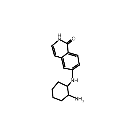 NC1CCCCC1Nc1ccc2c(=O)[nH]ccc2c1